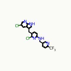 FC(F)(F)c1ccc(CNc2ccc(Cc3c[nH]c4ncc(Cl)cc34)c(Cl)n2)cn1